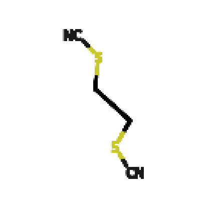 N#CSCCSC#N